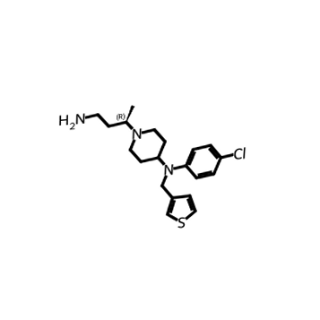 C[C@H](CCN)N1CCC(N(Cc2ccsc2)c2ccc(Cl)cc2)CC1